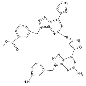 COC(=O)c1cccc(Cn2nnc3c(-c4ccco4)nc(N)nc32)c1.Nc1cccc(Cn2nnc3c(-c4ccco4)nc(N)nc32)c1